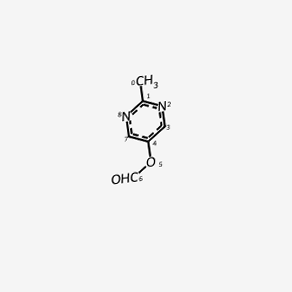 Cc1ncc(OC=O)cn1